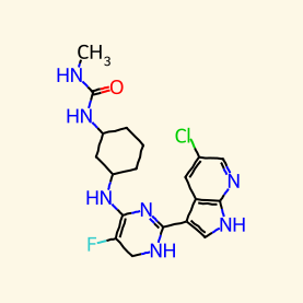 CNC(=O)NC1CCCC(NC2=C(F)CNC(c3c[nH]c4ncc(Cl)cc34)=N2)C1